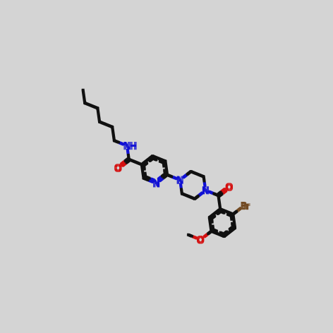 CCCCCCNC(=O)c1ccc(N2CCN(C(=O)c3cc(OC)ccc3Br)CC2)nc1